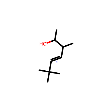 CC(O)C(C)/C=C/C(C)(C)C